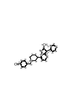 Cc1nn2c(C3CCCN(Cc4ccc(Cl)cc4)C3)ccnc2c1-c1ccncn1